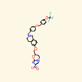 O=[N+]([O-])c1cn2c(n1)OC(COc1ccc3c(c1)CCN(Cc1ccc(OCc4ccc(OC(F)(F)F)cc4)cc1)C3)CC2